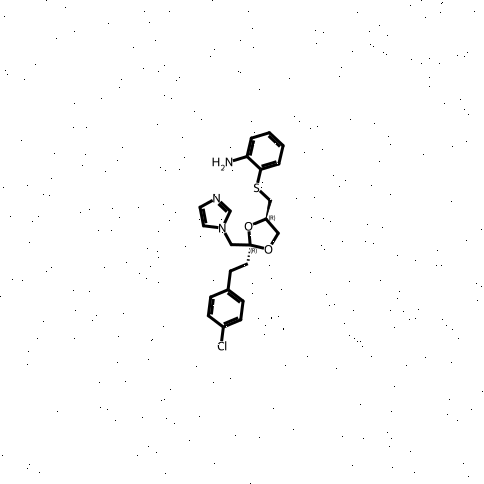 Nc1ccccc1SC[C@H]1CO[C@@](CCc2ccc(Cl)cc2)(Cn2ccnc2)O1